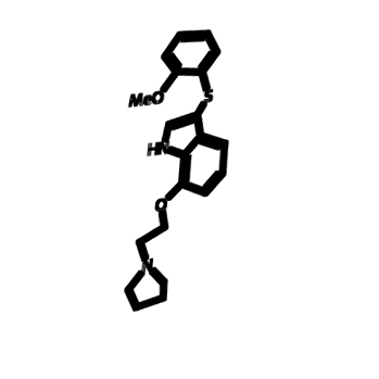 COc1ccccc1Sc1c[nH]c2c(OCCN3CCCC3)cccc12